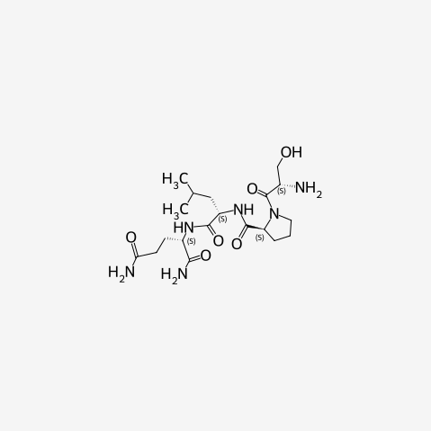 CC(C)C[C@H](NC(=O)[C@@H]1CCCN1C(=O)[C@@H](N)CO)C(=O)N[C@@H](CCC(N)=O)C(N)=O